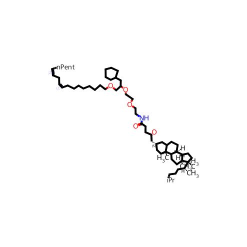 CCCCC/C=C\C/C=C\CCCCCCCCOCC(CC1CCCCC1)OCCOCCNC(=O)CCC(=O)C[C@H]1CC[C@@]2(C)C(CC[C@@H]3C2CC[C@@]2(C)[C@H]3CC[C@]2(C)[C@H](C)CCCC(C)C)C1